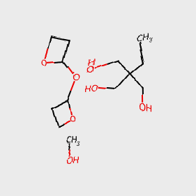 C1CC(OC2CCO2)O1.CCC(CO)(CO)CO.CO